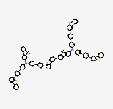 CC1(C)c2ccccc2-c2ccc(N(c3ccc(-c4ccc(-c5cccc6c5sc5ccccc56)cc4)cc3)c3ccc(-c4ccc(-c5cccc6c5sc5ccc(-c7ccc8c(c7)C(C)(C)c7cc(N(c9ccc(-c%10ccc(-c%11ccc%12sc%13ccccc%13c%12c%11)cc%10)cc9)c9ccc(-c%10ccc(-c%11ccc%12sc%13ccccc%13c%12c%11)cc%10)cc9)ccc7-8)cc56)cc4)cc3)cc21